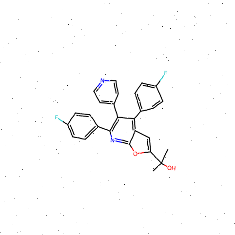 CC(C)(O)c1cc2c(-c3ccc(F)cc3)c(-c3ccncc3)c(-c3ccc(F)cc3)nc2o1